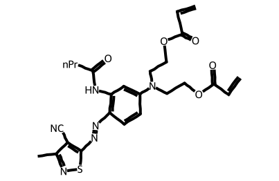 C=CC(=O)OCCN(CCOC(=O)C=C)c1ccc(/N=N/c2snc(C)c2C#N)c(NC(=O)CCC)c1